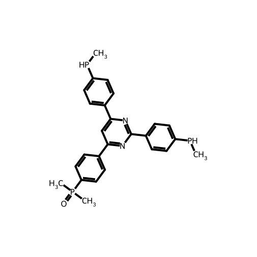 CPc1ccc(-c2cc(-c3ccc(P(C)(C)=O)cc3)nc(-c3ccc(PC)cc3)n2)cc1